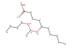 CCCCCC(CCCC(O)=S)OC(C)OCCCC